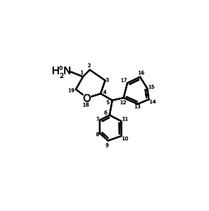 NC1CCC(C(c2ccccc2)c2ccccc2)OC1